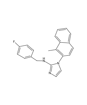 Cc1c(-n2ccnc2NCc2ccc(F)cc2)ccc2ccccc12